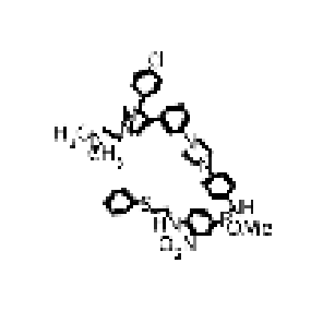 COP(Nc1ccc(N2CCN(c3cccc(-c4cn(CCN(C)C)nc4C4C=CC(Cl)=CC4)c3)CC2)cc1)c1ccc(NCCSc2ccccc2)c([N+](=O)[O-])c1